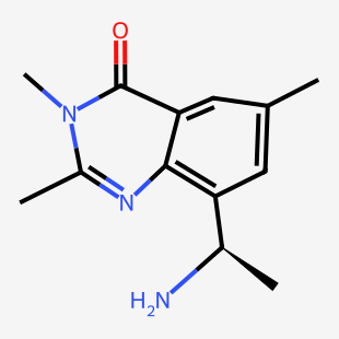 Cc1cc([C@@H](C)N)c2nc(C)n(C)c(=O)c2c1